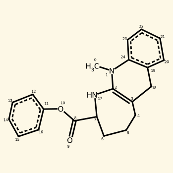 CN1C2=C(CCCC(C(=O)Oc3ccccc3)N2)Cc2ccccc21